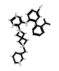 CC(C)c1ccccc1-c1cc(F)ccc1Oc1cncnc1N1CC2(CN(CC3CCCOC3)C2)C1